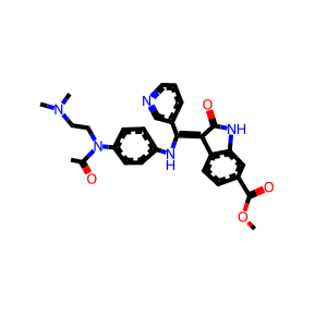 COC(=O)c1ccc2c(c1)NC(=O)C2=C(Nc1ccc(N(CCN(C)C)C(C)=O)cc1)c1cccnc1